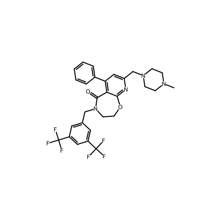 CN1CCN(Cc2cc(-c3ccccc3)c3c(n2)OCCN(Cc2cc(C(F)(F)F)cc(C(F)(F)F)c2)C3=O)CC1